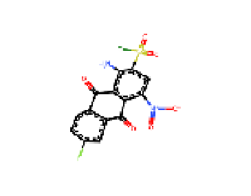 Nc1c(S(=O)(=O)Cl)cc([N+](=O)[O-])c2c1C(=O)c1ccc(F)cc1C2=O